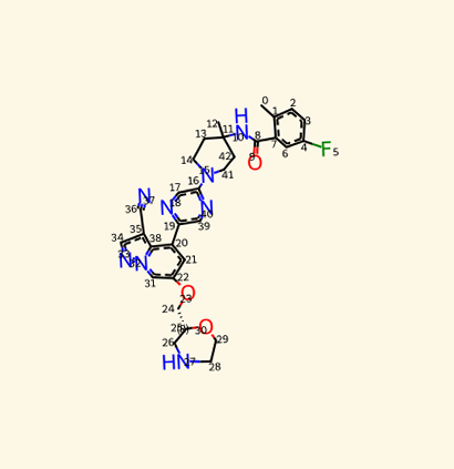 Cc1ccc(F)cc1C(=O)NC1(C)CCN(c2cnc(-c3cc(OC[C@H]4CNCCO4)cn4ncc(C#N)c34)cn2)CC1